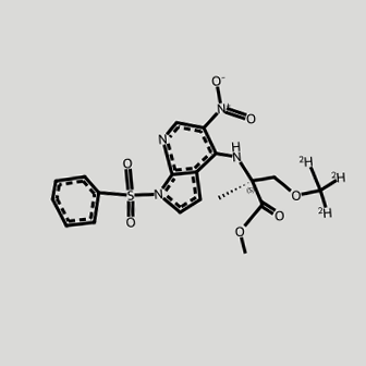 [2H]C([2H])([2H])OC[C@](C)(Nc1c([N+](=O)[O-])cnc2c1ccn2S(=O)(=O)c1ccccc1)C(=O)OC